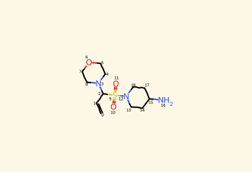 C=CC(N1CCOCC1)S(=O)(=O)N1CCC(N)CC1